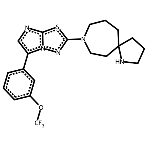 FC(F)(F)Oc1cccc(-c2cnc3sc(N4CCCC5(CCCN5)CC4)nn23)c1